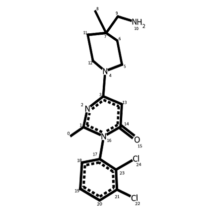 Cc1nc(N2CCC(C)(CN)CC2)cc(=O)n1-c1cccc(Cl)c1Cl